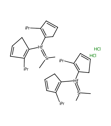 CC(C)C1=[C]([Hf]([C]2=C(C(C)C)C=CC2)=[Si](C)C)CC=C1.CC(C)C1=[C]([Hf]([C]2=C(C(C)C)C=CC2)=[Si](C)C)CC=C1.Cl.Cl